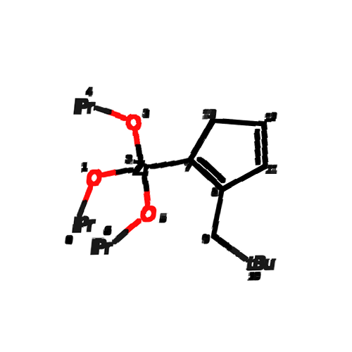 CC(C)[O][Zr]([O]C(C)C)([O]C(C)C)[C]1=C(CC(C)(C)C)C=CC1